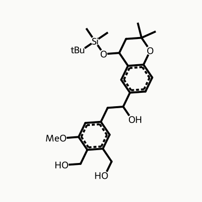 COc1cc(CC(O)c2ccc3c(c2)C(O[Si](C)(C)C(C)(C)C)CC(C)(C)O3)cc(CO)c1CO